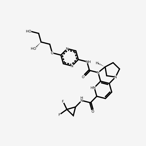 O=C(NC1CC1(F)F)C1C=CC2=C(N1)N(C(=O)Nc1cnc(OC[C@H](O)CO)cn1)[C@H]1CCN2C1